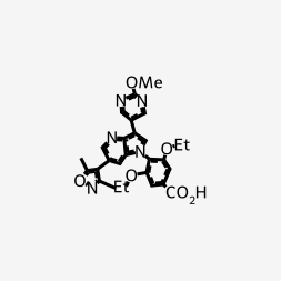 CCOc1cc(C(=O)O)cc(OCC)c1-n1cc(-c2cnc(OC)nc2)c2ncc(-c3c(C)noc3C)cc21